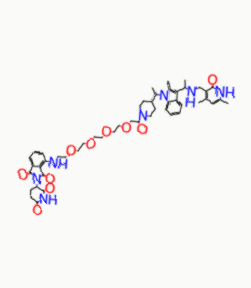 Cc1cc(C)c(CNC(C)c2c(C)n(C(C)C3CCN(C(=O)COCCOCCOCCOCCNc4cccc5c4C(=O)N(C4CCC(=O)NC4=O)C5=O)CC3)c3ccccc23)c(=O)[nH]1